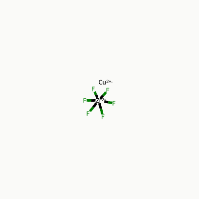 [Cu+2].[F][Zr-2]([F])([F])([F])([F])[F]